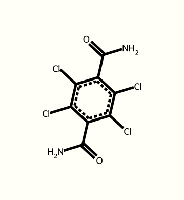 NC(=O)c1c(Cl)c(Cl)c(C(N)=O)c(Cl)c1Cl